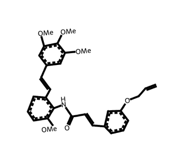 C=CCOc1cccc(/C=C/C(=O)Nc2c(/C=C/c3cc(OC)c(OC)c(OC)c3)cccc2OC)c1